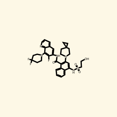 O=C(Nc1cc2cccnc2c(N2CCC(F)(F)CC2)c1F)c1c(N2CCC3(CC2)CC3)cc(NS(=O)(=O)CCO)c2ccccc12